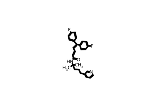 CC(C)(CCCc1cccnc1)NC(=O)/C=C/C=C(c1ccc(F)cc1)c1ccc(F)cc1